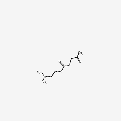 CC(=O)CCC(=O)OCCN(C)C